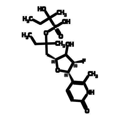 CCC(C)(C[C@H]1O[C@@H](c2ccc(=O)[nH]c2C)[C@@H](F)C1O)OP(=O)(O)C(C)(O)CC